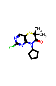 CC1(C)Sc2cnc(Cl)nc2N(C2CCCC2)C1=O